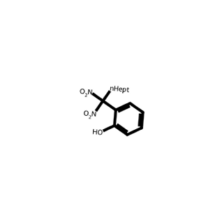 CCCCCCCC(c1ccccc1O)([N+](=O)[O-])[N+](=O)[O-]